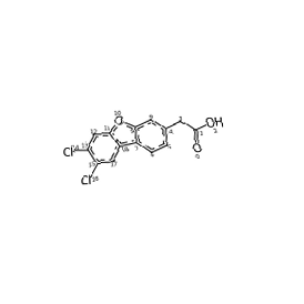 O=C(O)Cc1ccc2c(c1)oc1cc(Cl)c(Cl)cc12